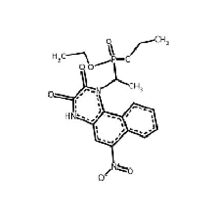 CCOP(=O)(OCC)C(C)n1c(=O)c(=O)[nH]c2cc([N+](=O)[O-])c3ccccc3c21